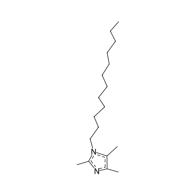 CCCCCCCCCCCCn1c(C)nc(C)c1C